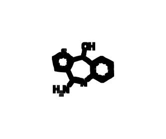 NC1=Nc2ccccc2C(O)c2sccc21